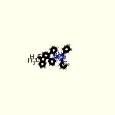 CC1(C)c2ccccc2-c2c1ccc1c2-c2ccccc2N(c2nc(-c3ccccc3)nc(-c3ccccc3)n2)c2ccccc2-1